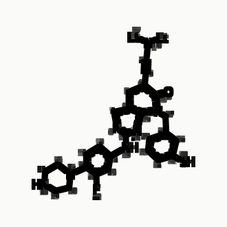 CCN(C#Cc1cc2cnc(Nc3ccc(N4CCNCC4)c(F)c3)nc2n(Cc2cccc(S)c2)c1=O)CC